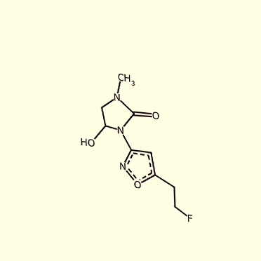 CN1CC(O)N(c2cc(CCF)on2)C1=O